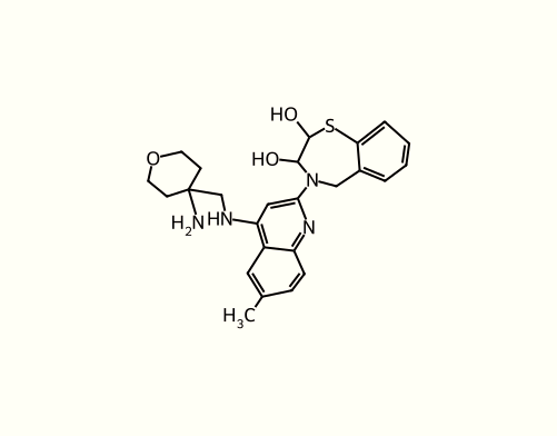 Cc1ccc2nc(N3Cc4ccccc4SC(O)C3O)cc(NCC3(N)CCOCC3)c2c1